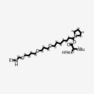 CCCCCCC(CCCC)C(=O)OC(CCCCCCOCCCOCCCCOCNCC)N1CCCC1